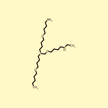 CCCCCOCCCCN(CCCCOCCCCN)COCCCCNCC